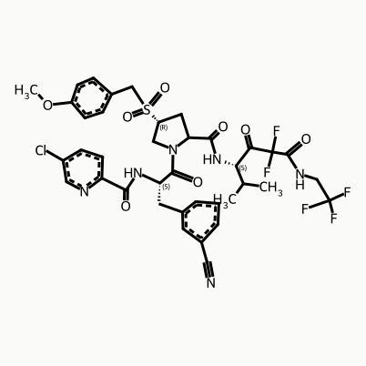 COc1ccc(CS(=O)(=O)[C@@H]2CC(C(=O)N[C@H](C(=O)C(F)(F)C(=O)NCC(F)(F)F)C(C)C)N(C(=O)[C@H](Cc3cccc(C#N)c3)NC(=O)c3ccc(Cl)cn3)C2)cc1